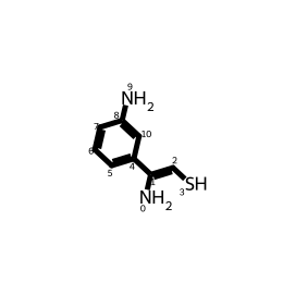 N/C(=C\S)c1cccc(N)c1